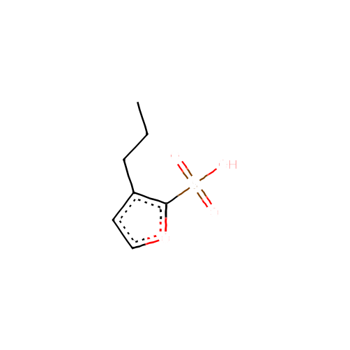 CCCc1ccoc1S(=O)(=O)O